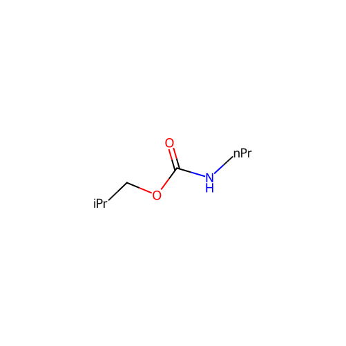 [CH2]C(C)COC(=O)NCCC